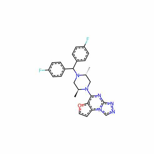 C[C@@H]1CN(c2nc3nncn3c3ccoc23)[C@@H](C)CN1C(c1ccc(F)cc1)c1ccc(F)cc1